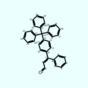 O=C/C=C(\c1ccccc1)c1ccc(C(c2ccccc2)(c2ccccc2)c2ccccc2)cc1